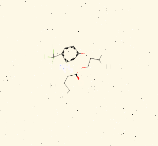 CC[C@H](C)[C@H](N)C(=O)O[C@@H](C)[C@H](Oc1ccc(C(F)(F)F)cc1)C(C)C